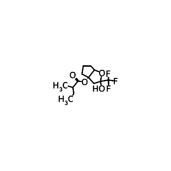 CCC(C)C(=O)OC12CCCC1OC(O)(C(F)(F)F)C2